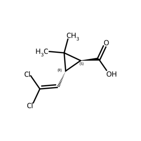 CC1(C)[C@@H](C=C(Cl)Cl)[C@@H]1C(=O)O